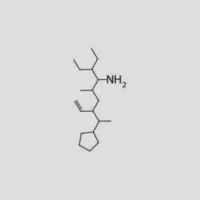 C=CC(CC(C)C(N)C(CC)CC)C(C)C1CCCC1